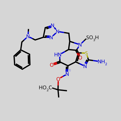 CN(Cc1ccccc1)Cc1cnn(CC2C(NC(=O)/C(=N\OC(C)(C)C(=O)O)c3csc(N)n3)C(=O)N2S(=O)(=O)O)n1